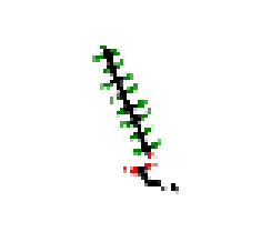 C=CC(=O)OC(F)(F)C(F)(F)C(F)(F)C(F)(F)C(F)(F)C(F)(F)C(F)(F)C(F)(F)F